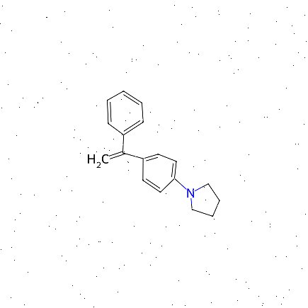 C=C(c1ccccc1)c1ccc(N2CCCC2)cc1